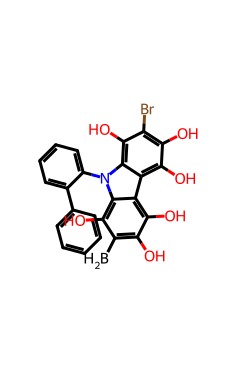 Bc1c(O)c(O)c2c3c(O)c(O)c(Br)c(O)c3n(-c3ccccc3-c3ccccc3)c2c1O